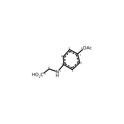 CC(=O)Oc1ccc(NCC(=O)O)cc1